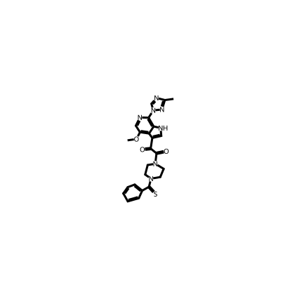 COc1cnc(-n2cnc(C)n2)c2[nH]cc(C(=O)C(=O)N3CCN(C(=S)c4ccccc4)CC3)c12